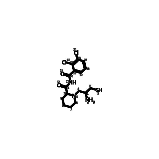 NC(CS)CN1CCCCC1C(=O)NC(=O)c1cccc(Cl)c1Cl